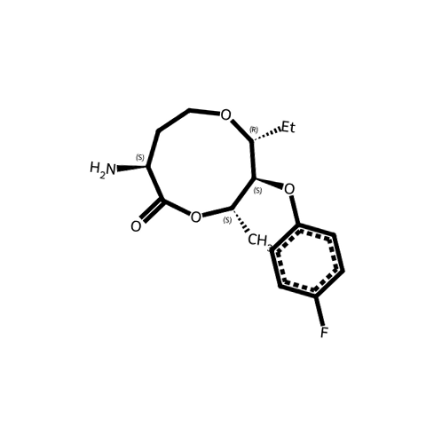 CC[C@H]1OCC[C@H](N)C(=O)O[C@@H](C)[C@@H]1Oc1ccc(F)cc1